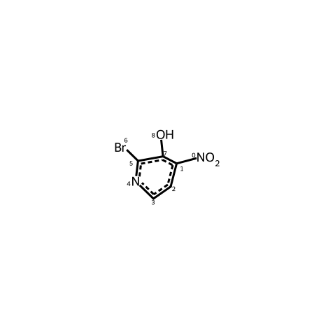 O=[N+]([O-])c1ccnc(Br)c1O